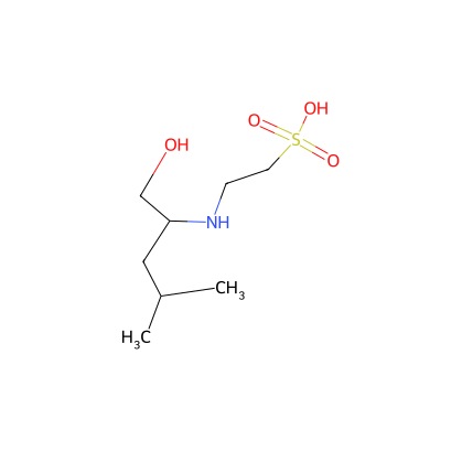 CC(C)CC(CO)NCCS(=O)(=O)O